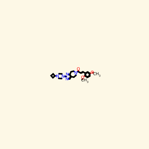 COc1ccc(OC)c(C=CC(=O)N2CCc3cnc(N4CCN(C5CCC5)CC4)nc3CC2)c1